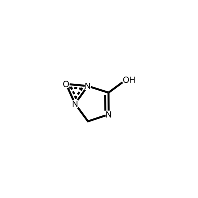 OC1=NCn2on21